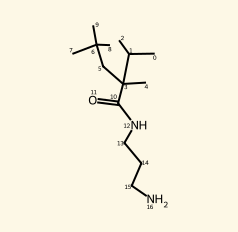 CC(C)C(C)(CC(C)(C)C)C(=O)NCCCN